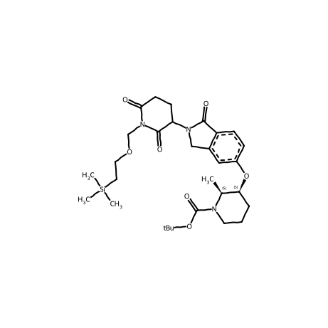 C[C@H]1[C@@H](Oc2ccc3c(c2)CN(C2CCC(=O)N(COCC[Si](C)(C)C)C2=O)C3=O)CCCN1C(=O)OC(C)(C)C